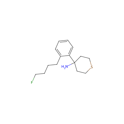 NC1(c2ccccc2CCCCF)CCSCC1